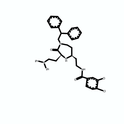 CC(C)N(CC[C@@H]1N[C@H](CCNC(=O)c2ccc(Cl)c(Cl)c2)CCN(CC(c2ccccc2)c2ccccc2)C1=O)C(C)C